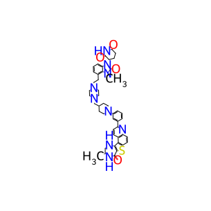 C[C@@H]1CNc2c(sc3ccc4nc(-c5cccc(N6CCC(CN7CCN(CCc8cccc9c8n(C)c(=O)n9C8CCC(=O)NC8=O)CC7)CC6)c5)ccc4c23)C(=O)N1